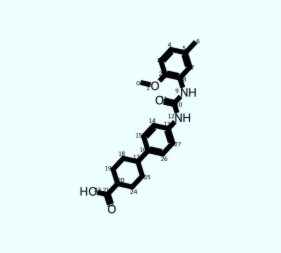 COc1ccc(C)cc1NC(=O)Nc1ccc(C2CCC(C(=O)O)CC2)cc1